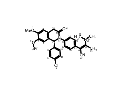 COc1cc2c(cc1OC(C)C)[C@H](c1ccc(Cl)cc1)N(c1ccc(C(C#N)=C(C)N(C)C)cc1)C(=O)C2